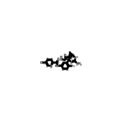 NC1=N[C@](CF)(c2cc(NC(=O)c3ccc(Cl)cn3)ccc2F)C2C[C@]2(/C=C/CO)S1